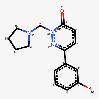 O=c1ccc(-c2cccc(Br)c2)nn1CN1CCCC1